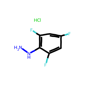 Cl.NNc1c(F)cc(F)cc1F